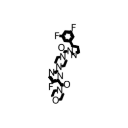 O=C(c1nc(N2CCN(C(=O)N3N=CCC3c3cc(F)cc(F)c3)CC2)ncc1F)N1CCOCC1